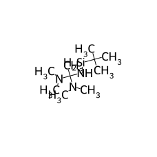 CN(C)C(C)(N[SiH2]C(C)(C)C)N(C)C